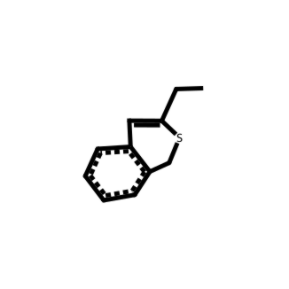 CCC1=Cc2ccccc2CS1